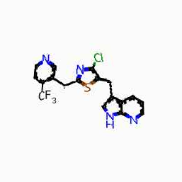 FC(F)(F)c1ccncc1[CH]c1nc(Cl)c(Cc2c[nH]c3ncccc23)s1